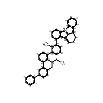 CCC1Cc2ccc(-c3ccccc3)cc2-c2cccc(-c3cccc(-c4cccc5c4c4c6c(c7ccccc7n65)CCC=4)c3C)c21